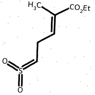 CCOC(=O)C(C)=CCC=S(=O)=O